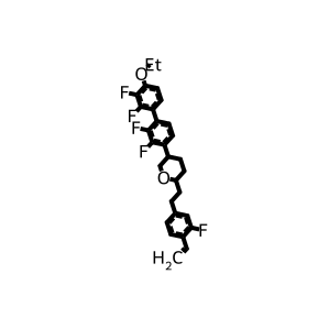 C=Cc1ccc(CCC2CCC(c3ccc(-c4ccc(OCC)c(F)c4F)c(F)c3F)CO2)cc1F